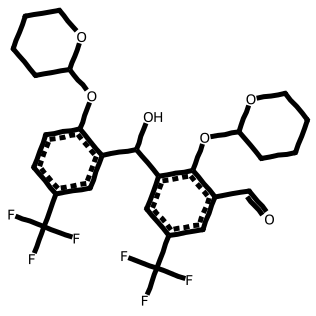 O=Cc1cc(C(F)(F)F)cc(C(O)c2cc(C(F)(F)F)ccc2OC2CCCCO2)c1OC1CCCCO1